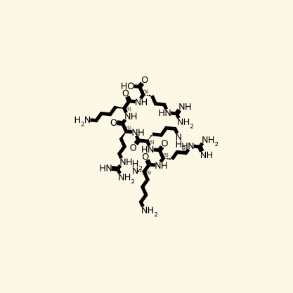 N=C(N)NCCC[C@H](NC(=O)[C@H](CCCCN)NC(=O)[C@H](CCCNC(=N)N)NC(=O)[C@H](CCCCN)NC(=O)[C@H](CCCNC(=N)N)NC(=O)[C@@H](N)CCCCN)C(=O)O